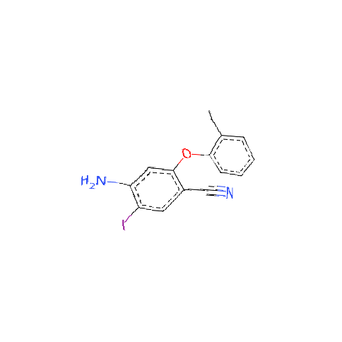 Cc1ccccc1Oc1cc(N)c(I)cc1C#N